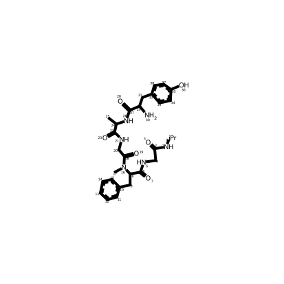 CC(C)NC(=O)CNC(=O)C(Cc1ccccc1)N(C)C(=O)CNC(=O)C(C)NC(=O)C(N)Cc1ccc(O)cc1